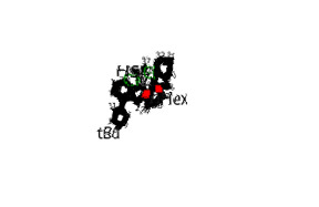 CCCCCCC1=Cc2c(-c3ccc(C(C)(C)C)cc3)cccc2[CH]1[Zr]([Cl])([Cl])([c]1ccccc1)([CH]1C=Cc2ccccc21)[SiH](C)C